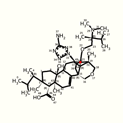 CC(C)[C@@H](C)[C@@]1(C)CC[C@]2(C)C3CC[C@@H]4[C@@]5(COC[C@@]4(C)C(OC[C@@](C)(C(C)C)N(C)C)[C@H](n4nnc(N)n4)C5)C3=CC[C@@]2(C)[C@@H]1C(=O)O